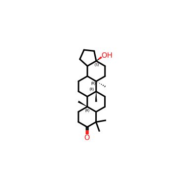 CC1(C)C(=O)CC[C@@]2(C)C1CC[C@]1(C)C2CCC2C3CCC[C@]3(O)CC[C@]21C